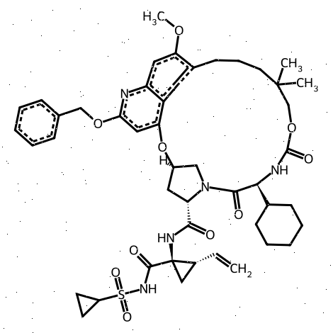 C=C[C@@H]1C[C@]1(NC(=O)[C@@H]1C[C@@H]2CN1C(=O)[C@H](C1CCCCC1)NC(=O)OCC(C)(C)CCCc1cc3c(cc(OCc4ccccc4)nc3cc1OC)O2)C(=O)NS(=O)(=O)C1CC1